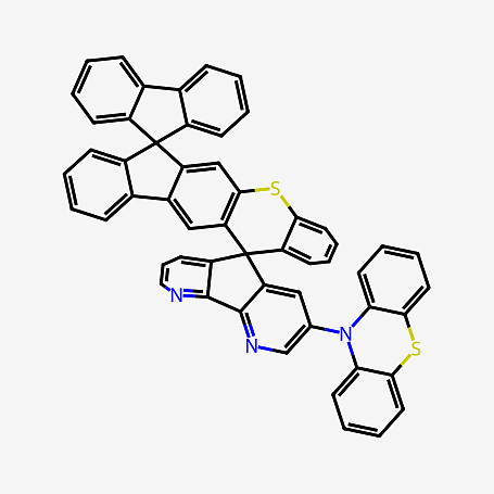 c1ccc2c(c1)Sc1ccccc1N2c1cnc2c(c1)C1(c3ccccc3Sc3cc4c(cc31)-c1ccccc1C41c3ccccc3-c3ccccc31)c1cccnc1-2